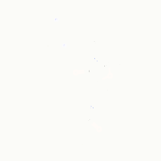 C=C(/C=C(F)\C=C(/C)F)[C@@H]1CC[C@H]2OC3(CCN(C(=O)c4cccc(Cl)c4F)CC3)C(=O)N21